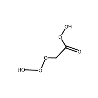 O=C(COOO)OO